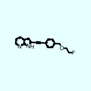 FCCOCc1ccc(C#Cc2cc3cccnc3[nH]2)cc1